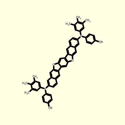 Cc1cc(N(c2ccc(C#N)cc2)c2ccc3cc4c(cc3c2)oc2cc3c(cc24)oc2cc4cc(N(c5ccc(C#N)cc5)c5cc(C)c(C)c(C)c5)ccc4cc23)cc(C)c1C